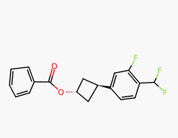 O=C(O[C@H]1C[C@H](c2ccc(C(F)F)c(F)c2)C1)c1ccccc1